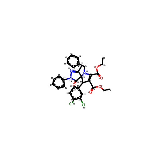 CCOC(=O)C1=C(C(=O)OCC)N(Cc2ccccc2)C2(C(=O)N(c3ccccc3)N=C2C)C1c1ccc(Cl)c(Cl)c1